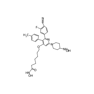 Cc1ccc(-c2c(OCCCCCCC(=O)NO)cc(N3CCC(N)CC3)nc2-c2ccc(C#N)c(F)c2)cc1.Cl